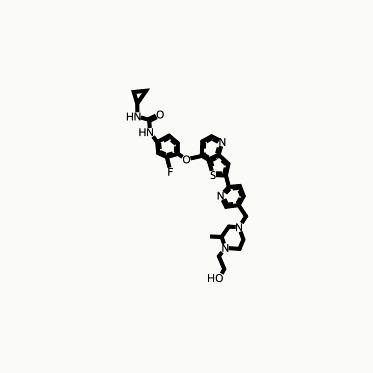 CC1CN(Cc2ccc(-c3cc4nccc(Oc5ccc(NC(=O)NC6CC6)cc5F)c4s3)nc2)CCN1CCO